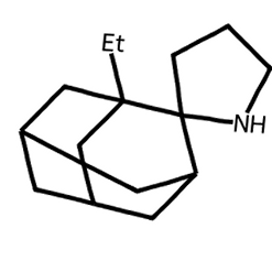 CCC12CC3CC(CC(C3)C13CCCN3)C2